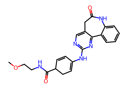 COCCNC(=O)C1C=CC(Nc2ncc3c(n2)-c2ccccc2NC(=O)C3)=CC1